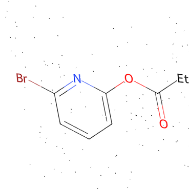 CCC(=O)Oc1cccc(Br)n1